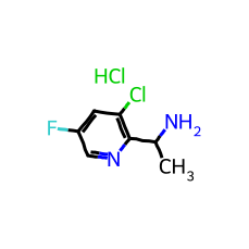 CC(N)c1ncc(F)cc1Cl.Cl